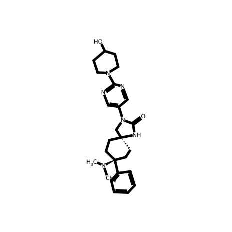 CN(C)[C@]1(c2ccccc2)CC[C@]2(CC1)CN(c1cnc(N3CCC(O)CC3)nc1)C(=O)N2